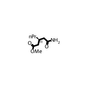 CCC[C@@H](CC(N)=O)CC(=O)OC